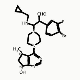 C[C@@H]1C[C@@H](O)c2ncnc(N3CCN(C(NCC4CC4)C(C=O)c4ccc(Br)c(F)c4)CC3)c21